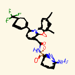 Cc1cc(C)c(Oc2nc(C3=CCC(C(F)(F)F)CC3)ccc2C(=O)NS(=O)(=O)c2cccc(N)n2)c(C)c1